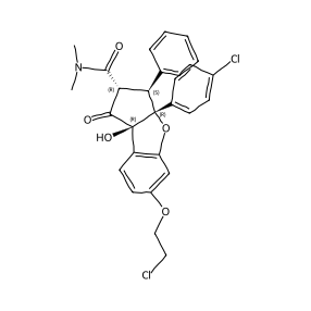 CN(C)C(=O)[C@H]1C(=O)[C@@]2(O)c3ccc(OCCCl)cc3O[C@@]2(c2ccc(Cl)cc2)[C@@H]1c1ccccc1